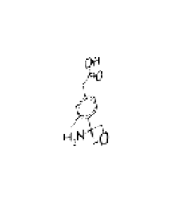 Cc1cc(CC(=O)O)ccc1C1(N)COC1